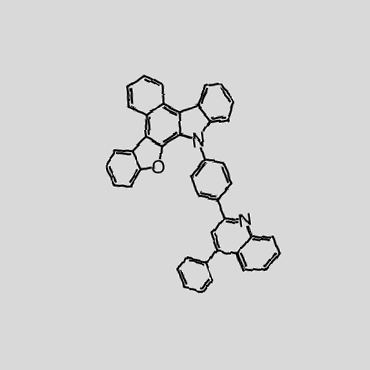 c1ccc(-c2cc(-c3ccc(-n4c5ccccc5c5c6ccccc6c6c7ccccc7oc6c54)cc3)nc3ccccc23)cc1